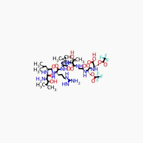 CC(C)C[C@H](NC(=O)[C@@H](N)[C@H](O)C(C)C)C(=O)N[C@@H](CCCNC(=N)N)C(=O)N[C@@H](C[Si](C)(C)C)C(=O)N[C@H](C(=O)NCC(=O)N[C@@H](COC(=O)C(F)(F)F)C(=O)N[C@@H](COC(=O)C(F)(F)F)C(=O)O)[C@H](C)O